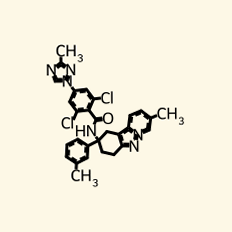 Cc1cccc(C2(NC(=O)c3c(Cl)cc(-n4cnc(C)n4)cc3Cl)CCc3nn4cc(C)ccc4c3C2)c1